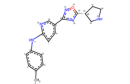 Cc1ccc(Nc2ccc(-c3noc([C@@H]4CCNC4)n3)cn2)cc1